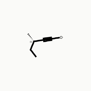 CC[C@H](C)C#C[O]